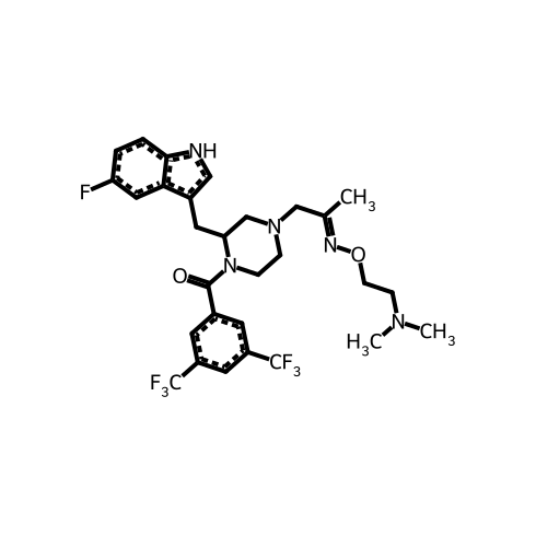 CC(CN1CCN(C(=O)c2cc(C(F)(F)F)cc(C(F)(F)F)c2)C(Cc2c[nH]c3ccc(F)cc23)C1)=NOCCN(C)C